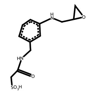 O=C(CS(=O)(=O)O)NCc1cccc(NCC2CO2)c1